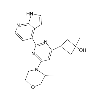 CC1COCCN1c1cc(C2CC(C)(O)C2)nc(-c2ccnc3[nH]ccc23)n1